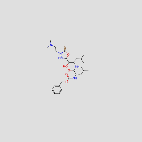 CC(C)C[C@H](NC(=O)OCc1ccccc1)C(=O)N[C@@H](CC(C)C)C(O)C1NN(CCN(C)C)C(=S)O1